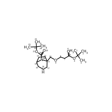 CC(C)(C)OC(=O)CCOCC12CCC(CNC1)N2C(=O)OC(C)(C)C